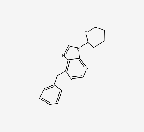 c1ccc(Cc2ncnc3c2ncn3C2CCCCO2)cc1